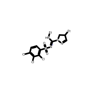 CCN/C(=N\S(=O)(=O)c1ccc(Cl)c(Cl)c1Cl)N1CC(CC)C=N1